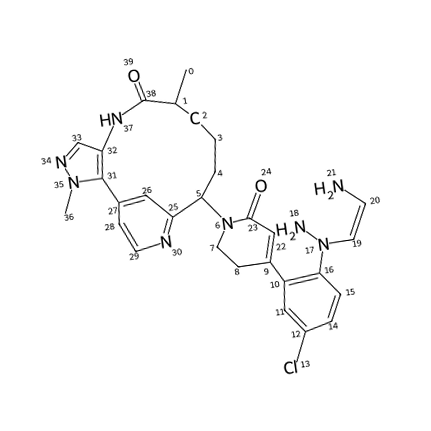 CC1CCCC(N2CCC(c3cc(Cl)ccc3N(N)/C=C\N)=CC2=O)c2cc(ccn2)-c2c(cnn2C)NC1=O